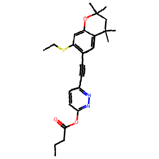 CCCC(=O)Oc1ccc(C#Cc2cc3c(cc2SCC)OC(C)(C)CC3(C)C)nn1